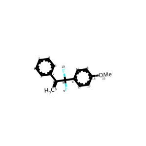 C=C(c1ccccc1)C(F)(F)c1ccc(OC)cc1